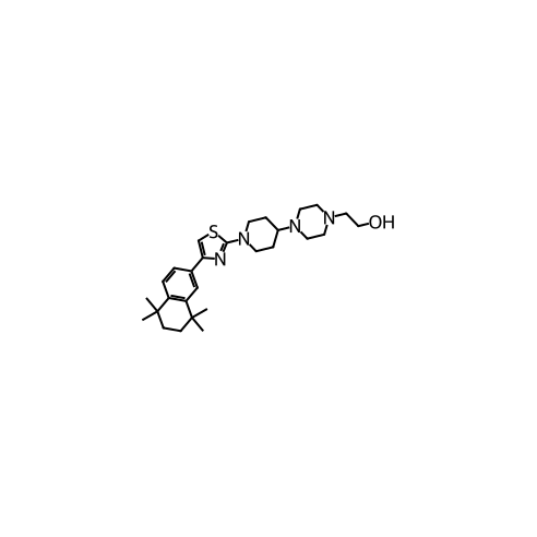 CC1(C)CCC(C)(C)c2cc(-c3csc(N4CCC(N5CCN(CCO)CC5)CC4)n3)ccc21